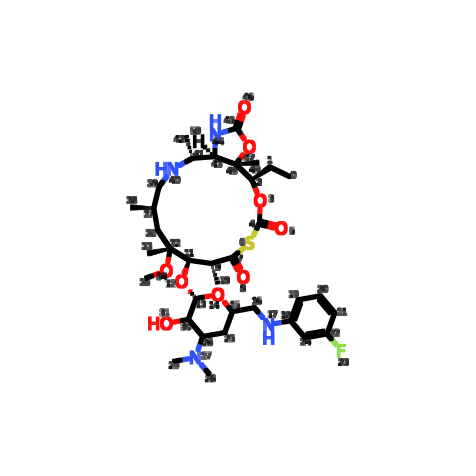 CC[C@H]1OC(=O)SC(=O)[C@H](C)[C@@H](O[C@@H]2OC(CNc3cccc(F)c3)CC(N(C)C)C2O)[C@](C)(OC)C[C@@H](C)CN[C@H](C)[C@H]2NC(=O)O[C@@]21C